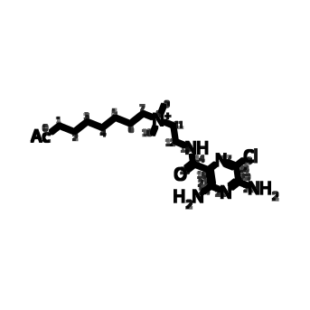 CC(=O)CCCCCCC[N+](C)(C)CCNC(=O)c1nc(Cl)c(N)nc1N